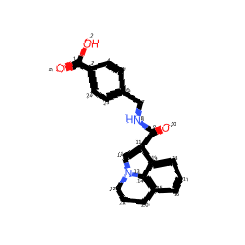 O=C(O)c1ccc(CNC(=O)c2cn3c4c(cccc24)CCC3)cc1